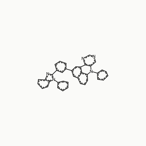 c1ccc(N2c3cncnc3-c3cc(-c4cccc(-c5nc6ccccc6n5-c5ccccc5)c4)cc4cccc2c34)cc1